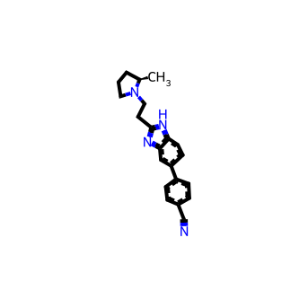 C[C@@H]1CCCN1CCc1nc2cc(-c3ccc(C#N)cc3)ccc2[nH]1